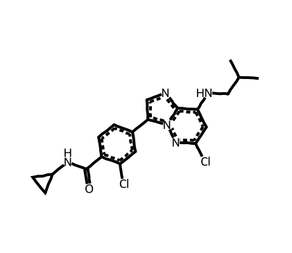 CC(C)CNc1cc(Cl)nn2c(-c3ccc(C(=O)NC4CC4)c(Cl)c3)cnc12